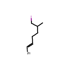 CC(C)/C=C/CCC(C)CI